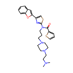 CN(C)CCN1CCN(CCCN(C(=O)c2cccs2)c2nc(-c3cc4ccccc4o3)cs2)CC1